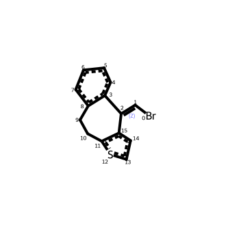 Br/C=C1/c2ccccc2CCc2sccc21